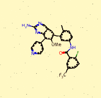 COc1c(-c2cc(NC(=O)c3cc(C(F)(F)F)ccc3F)ccc2C)cc2cnc(N)nc2c1-c1ccncc1